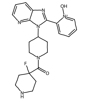 O=C(N1CCC(n2c(-c3cccc[n+]3O)nc3cccnc32)CC1)C1(F)CCNCC1